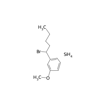 CCCCC(Br)c1cccc(OC)c1.[SiH4]